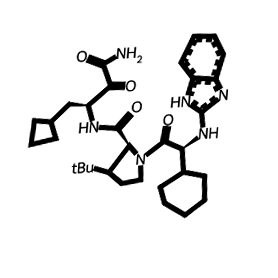 CC(C)(C)C1CCN(C(=O)[C@@H](Nc2nc3ccccc3[nH]2)C2CCCCC2)[C@@H]1C(=O)N[C@@H](CC1CCC1)C(=O)C(N)=O